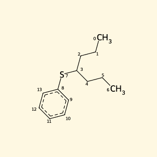 CCCC(CCC)Sc1ccccc1